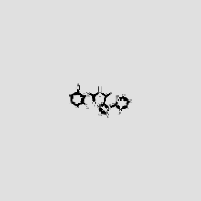 CC(NC(=O)Nc1c(Cl)cccc1Cl)c1ncnn1-c1ncccn1